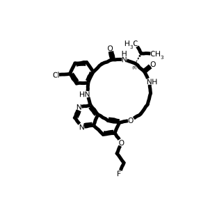 CC(C)[C@H]1NC(=O)Cc2ccc(Cl)cc2Nc2ncnc3cc(OCCF)c(cc23)OCCCNC1=O